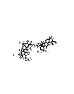 COC(=O)[C@]12CCC(C)(C)CC1C1C(=O)C=C3[C@@]4(C)C=C(C(=O)OCCc5noc([C@]67CCC(C)(C)CC6C6C(=O)C=C8[C@@]9(C)C=C(C#N)C[C@@H](C)[C@@H]9CC[C@@]8(C)[C@]6(C)CC7)n5)C(=O)[C@@H](C)[C@@H]4CC[C@@]3(C)[C@]1(C)CC2